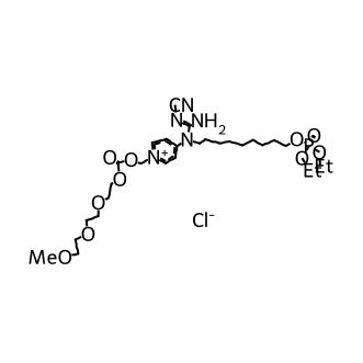 CCOP(=O)(OCC)OCCCCCCCCCN(C(N)=NC#N)c1cc[n+](COC(=O)OCCOCCOCCOC)cc1.[Cl-]